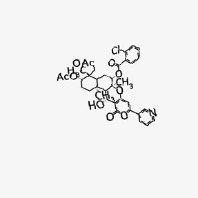 CC(=O)OCC1(C)C2C[C@H](OC(=O)c3ccccc3Cl)[C@@]3(C)Oc4cc(-c5cccnc5)oc(=O)c4[C@H](O)C3[C@@]2(C)CC[C@@H]1OC(C)=O